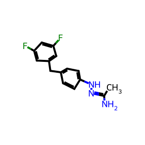 C/C(N)=N\Nc1ccc(Cc2cc(F)cc(F)c2)cc1